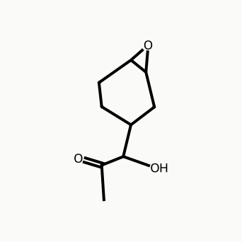 CC(=O)C(O)C1CCC2OC2C1